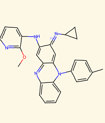 COc1ncccc1Nc1cc2nc3ccccc3n(-c3ccc(C)cc3)c-2c/c1=N\C1CC1